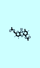 CC(=O)OCC1OC(O)C(O[C@@H]2OC(C)[C@H](C)[C@H](C)C2OC(C)=O)[C@H](C)[C@@H]1C